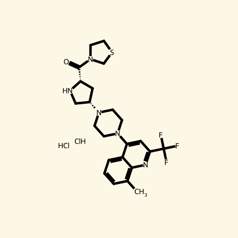 Cc1cccc2c(N3CCN([C@@H]4CN[C@H](C(=O)N5CCSC5)C4)CC3)cc(C(F)(F)F)nc12.Cl.Cl